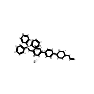 C=CCC1CCC(c2ccc(-c3ccc(C[P+](c4ccccc4)(c4ccccc4)c4ccccc4)cc3)cc2)CC1.[Br-]